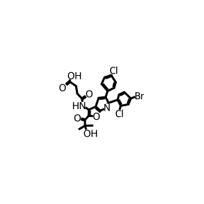 CC(C)(O)C(=O)c1oc2nc(-c3ccc(Br)cc3Cl)c(-c3ccc(Cl)cc3)cc2c1NC(=O)CCC(=O)O